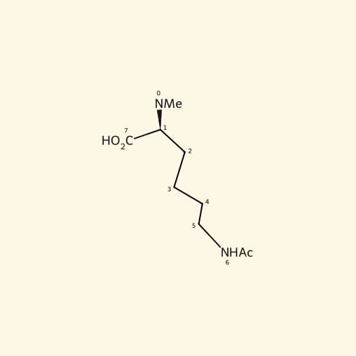 CN[C@@H](CCCCNC(C)=O)C(=O)O